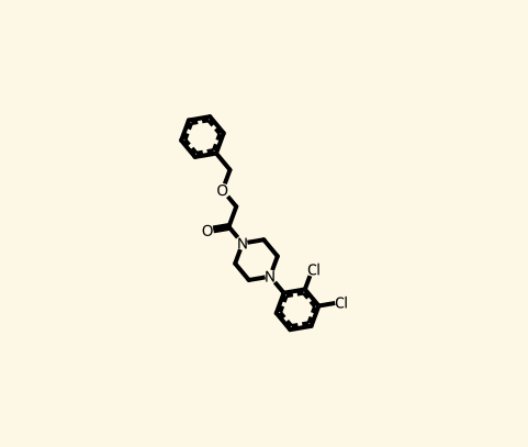 O=C(COCc1ccccc1)N1CCN(c2cccc(Cl)c2Cl)CC1